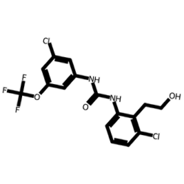 O=C(Nc1cc(Cl)cc(OC(F)(F)F)c1)Nc1cccc(Cl)c1CCO